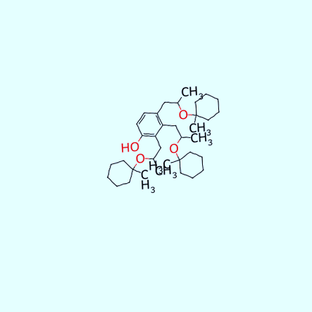 CC(Cc1ccc(O)c(CC(C)OC2(C)CCCCC2)c1CC(C)OC1(C)CCCCC1)OC1(C)CCCCC1